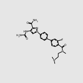 CN(C)CCN(C)C(=O)c1ccc(-c2ccc(-n3cc(NC(N)=O)c(C(N)=O)n3)cc2)cc1F